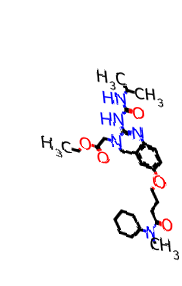 CCOC(=O)CN1Cc2cc(OCCCC(=O)N(C)C3CCCCC3)ccc2N=C1NC(=O)NC(C)C